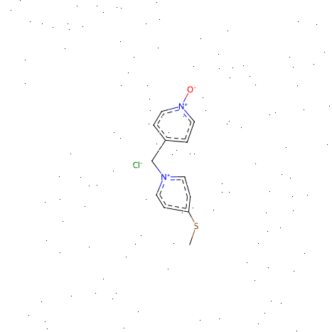 CSc1cc[n+](Cc2cc[n+]([O-])cc2)cc1.[Cl-]